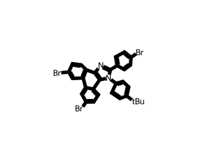 CC(C)(C)c1ccc(-n2c(-c3ccc(Br)cc3)nc3c4ccc(Br)cc4c4cc(Br)ccc4c32)cc1